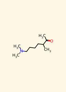 CC(=O)C(C)CCCCN(C)C